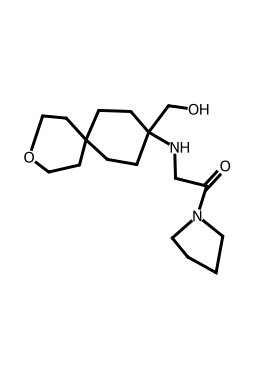 O=C(CNC1(CO)CCC2(CCOCC2)CC1)N1CCCC1